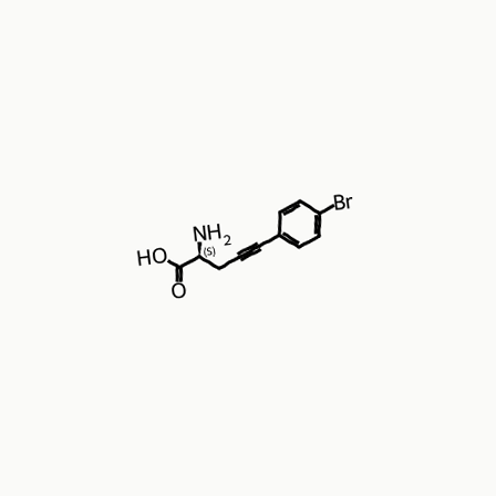 N[C@@H](CC#Cc1ccc(Br)cc1)C(=O)O